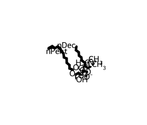 CCCCC/C=C\C/C=C\CCCCCCCC(=O)O[C@H](CO)COP(=O)([O-])OC(C[N+](C)(C)C)C(=O)CCCCCCCCCCCCCCCCC